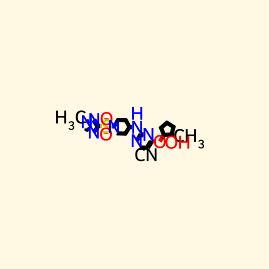 Cn1cnc(S(=O)(=O)N2CCC(Nc3ncc(C#N)c(OC4CCCC4(C)O)n3)CC2)n1